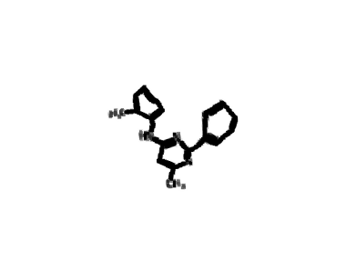 Cc1cc(Nc2ccccc2C)nc(-c2ccccc2)n1